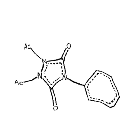 CC(=O)n1c(=O)n(-c2ccccc2)c(=O)n1C(C)=O